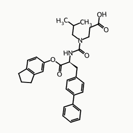 CC(C)CN(CCC(=O)O)C(=O)N[C@@H](Cc1ccc(-c2ccccc2)cc1)C(=O)Oc1ccc2c(c1)CCC2